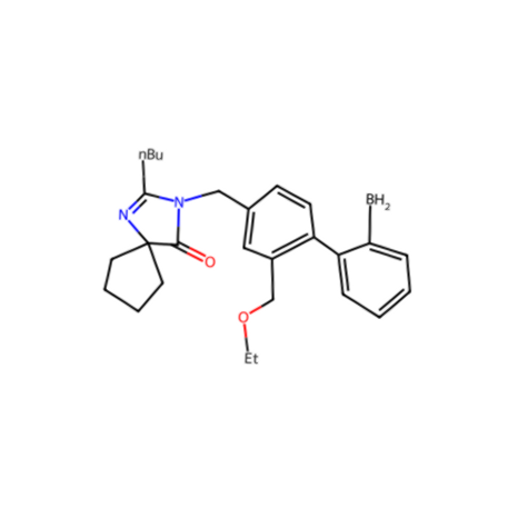 Bc1ccccc1-c1ccc(CN2C(=O)C3(CCCC3)N=C2CCCC)cc1COCC